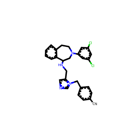 N#Cc1ccc(Cn2cncc2CNC2CN(c3cc(Cl)cc(Cl)c3)CCc3ccccc32)cc1